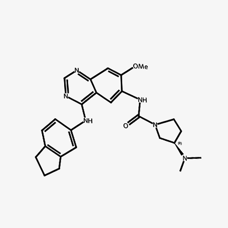 COc1cc2ncnc(Nc3ccc4c(c3)CCC4)c2cc1NC(=O)N1CC[C@@H](N(C)C)C1